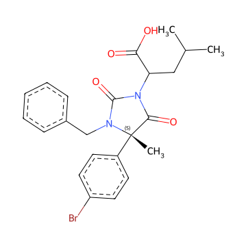 CC(C)CC(C(=O)O)N1C(=O)N(Cc2ccccc2)[C@@](C)(c2ccc(Br)cc2)C1=O